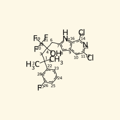 CC(C)(CC(O)(Cc1cc2cc(Cl)nc(Cl)c2[nH]1)C(F)(F)F)c1cccc(F)c1